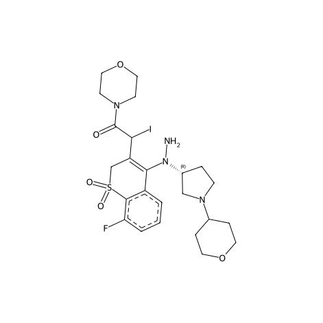 NN(C1=C(C(I)C(=O)N2CCOCC2)CS(=O)(=O)c2c(F)cccc21)[C@@H]1CCN(C2CCOCC2)C1